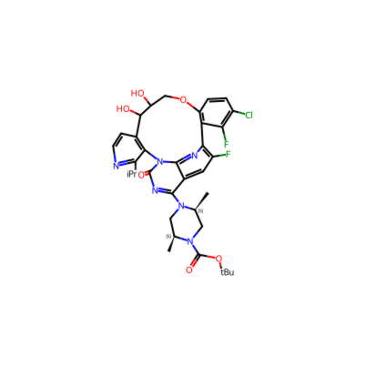 CC(C)c1nccc2c1-n1c(=O)nc(N3C[C@H](C)N(C(=O)OC(C)(C)C)C[C@@H]3C)c3cc(F)c(nc31)-c1c(ccc(Cl)c1F)OCC(O)C2O